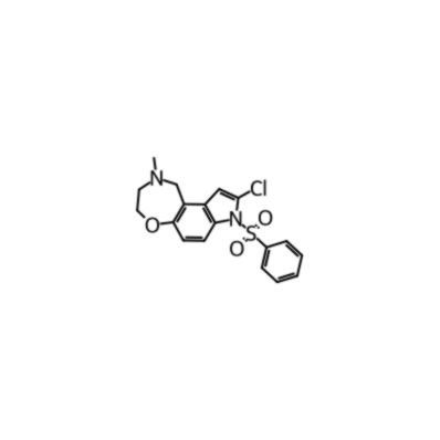 CN1CCOc2ccc3c(cc(Cl)n3S(=O)(=O)c3ccccc3)c2C1